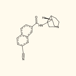 N#Cc1ccc2ccc(C(=O)N[C@H]3CN4CCC3CC4)cc2c1